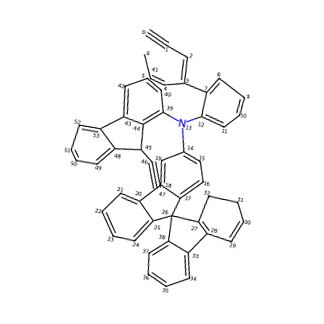 C#C/C=C(\C=C/C)c1ccccc1N(c1ccc2c(c1)-c1ccccc1C21C2=C(C=CCC2)c2ccccc21)c1cccc2c1C(C#C)c1ccccc1-2